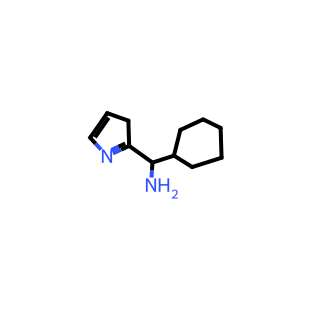 NC(C1=NC=CC1)C1CCCCC1